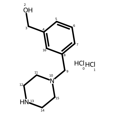 Cl.Cl.OCc1cccc(CN2CCNCC2)c1